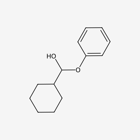 OC(Oc1ccccc1)C1CCCCC1